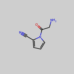 N#Cc1cccn1C(=O)CN